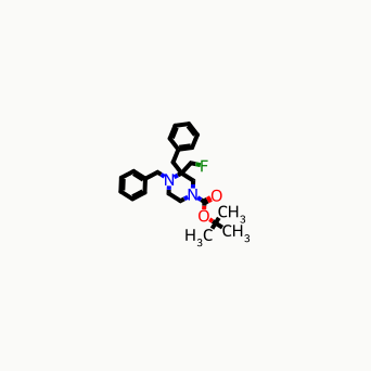 CC(C)(C)OC(=O)N1CCN(Cc2ccccc2)C(CF)(Cc2ccccc2)C1